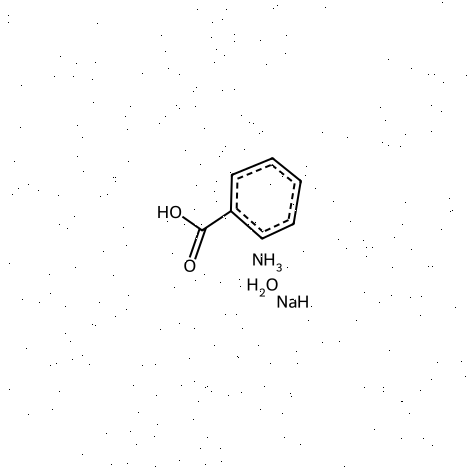 N.O.O=C(O)c1ccccc1.[NaH]